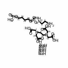 NCCN.O=C(O)CN(CCN(CC(=O)O)CC(=O)O)CC(=O)O.O=[PH](O)OCCCCO[PH](=O)O.[NaH].[NaH].[NaH].[NaH].[NaH]